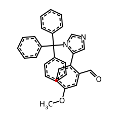 COc1ccc(-c2cncn2C(c2ccccc2)(c2ccccc2)c2ccccc2)c(C=O)c1